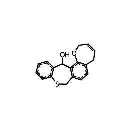 OC1c2ccccc2SCc2ccc3c(c21)OCC=CC3